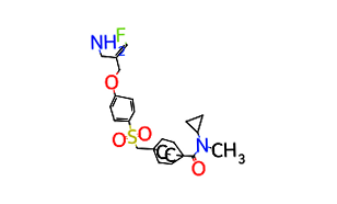 CN(C(=O)C12CCC(CS(=O)(=O)c3ccc(OC/C(=C/F)CN)cc3)(CC1)CC2)C1CC1